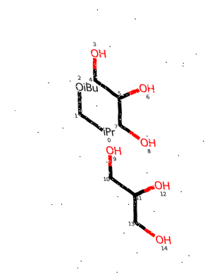 CC(C)COCC(C)C.OCC(O)CO.OCC(O)CO